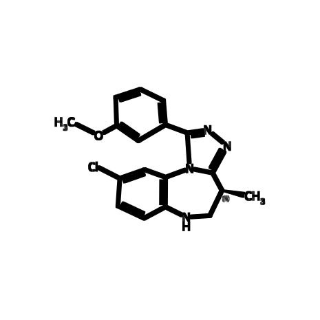 COc1cccc(-c2nnc3n2-c2cc(Cl)ccc2NC[C@@H]3C)c1